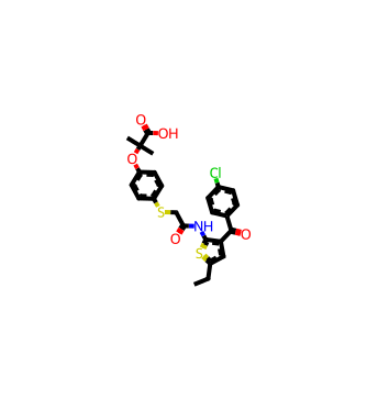 CCc1cc(C(=O)c2ccc(Cl)cc2)c(NC(=O)CSc2ccc(OC(C)(C)C(=O)O)cc2)s1